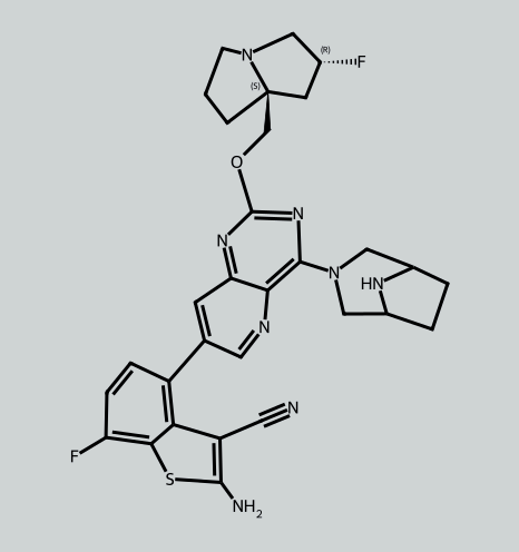 N#Cc1c(N)sc2c(F)ccc(-c3cnc4c(N5CC6CCC(C5)N6)nc(OC[C@@]56CCCN5C[C@H](F)C6)nc4c3)c12